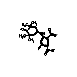 CC1(C)CC(Nc2cc(F)c([N+](=O)[O-])cc2[N+](=O)[O-])CC(C)(C)N1[O]